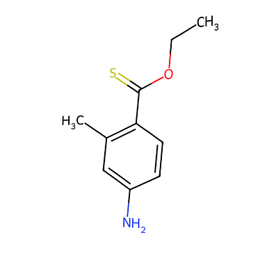 CCOC(=S)c1ccc(N)cc1C